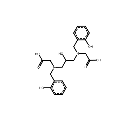 O=C(O)CN(Cc1ccccc1O)CC(O)CN(CC(=O)O)Cc1ccccc1O